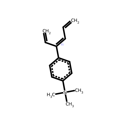 C=C/C=C(\C=C)c1ccc([Si](C)(C)C)cc1